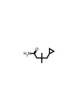 CC(C)([CH]C1CC1)CC(N)=O